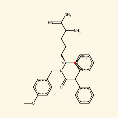 COc1ccc(CN(C(=O)C(c2ccccc2)c2ccccc2)[C@@H](CCCC(N)C(=N)N)C(N)=O)cc1